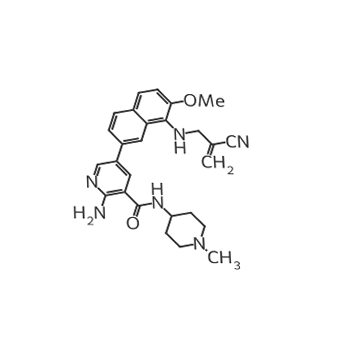 C=C(C#N)CNc1c(OC)ccc2ccc(-c3cnc(N)c(C(=O)NC4CCN(C)CC4)c3)cc12